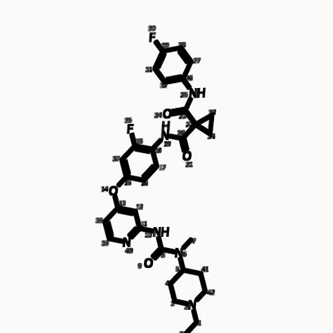 CCN1CCC(N(C)C(=O)Nc2cc(Oc3ccc(NC(=O)C4(C(=O)Nc5ccc(F)cc5)CC4)c(F)c3)ccn2)CC1